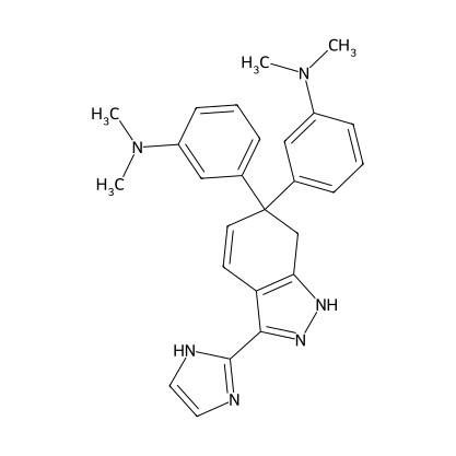 CN(C)c1cccc(C2(c3cccc(N(C)C)c3)C=Cc3c(-c4ncc[nH]4)n[nH]c3C2)c1